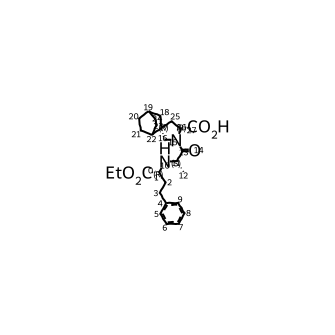 CCOC(=O)[C@@H](CCc1ccccc1)N[C@@H](C)C(=O)N1C[C@]2(CC3CCC2CC3)C[C@@H]1C(=O)O